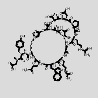 C[C@H](O)[C@H]1NC(=O)[C@@H]2Cc3cn(nn3)CCC[C@@H](C(=O)N[C@@H](Cc3ccc(O)cc3)C(=O)N(C)CC(=O)O)NC(=O)[C@H](CCC(N)=O)NC(=O)/C(=C/c3c[nH]c4ccccc34)NC(=O)[C@H](CCCNC(N)=O)NC(=O)C(CSSC[C@@H](NC(=O)CN)C(=O)N2)NC(=O)[C@H](CCCNC(=N)N)NC(=O)[C@H]2CCCN2C(=O)[C@H](CC(=O)O)NC1=O